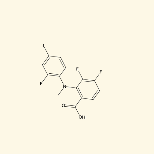 CN(c1ccc(I)cc1F)c1c(C(=O)O)ccc(F)c1F